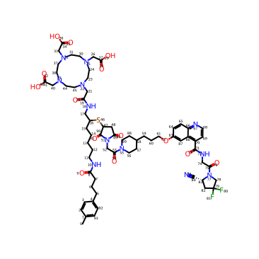 Cc1ccc(CCCC(=O)NCCCCCC(CNC(=O)CN2CCN(CC(=O)O)CCN(CC(=O)O)CCN(CC(=O)O)CC2)SC2CC(=O)N(CC(=O)N3CCC(CCCOc4ccc5nccc(C(=O)NCC(=O)N6CC(F)(F)C[C@@H]6C#N)c5c4)CC3)C2=O)cc1